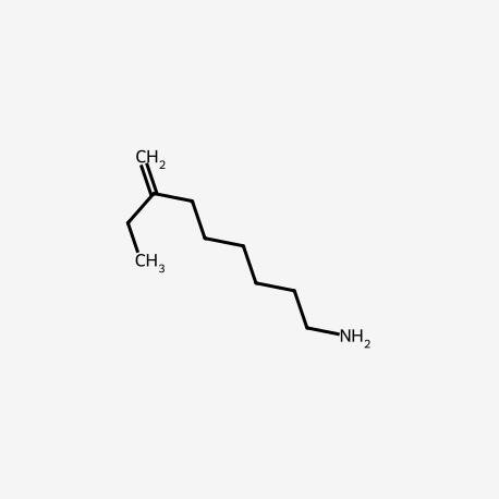 C=C(CC)CCCCCCN